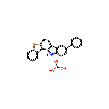 OB(O)O.c1ccc(-c2ccc3[nH]c4c(ccc5sc6ccccc6c54)c3c2)cc1